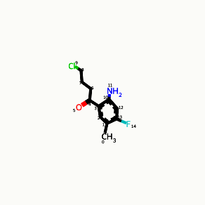 Cc1cc(C(=O)CCCCl)c(N)cc1F